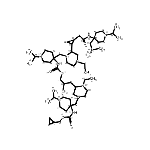 CCN1CCN(CC2(NC(=O)OCC(C)CC3CN(CC4(NC(=O)OCC5CC5)CCN(C(C)C)CC4)CCN3CC)CCN(C(C)C)CC2)C(C2CC2CC(=O)NC2(CN(C)C)CCN(C(C)C)CC2)C1